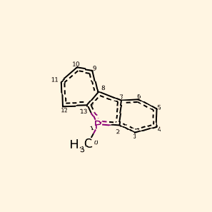 Cp1c2ccccc2c2ccccc21